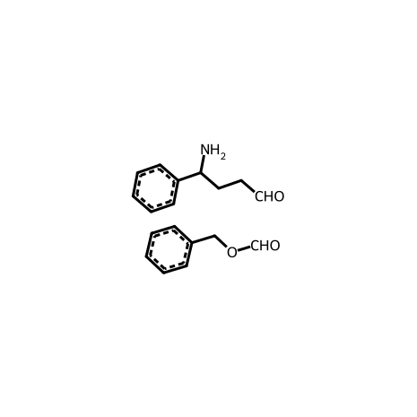 NC(CCC=O)c1ccccc1.O=COCc1ccccc1